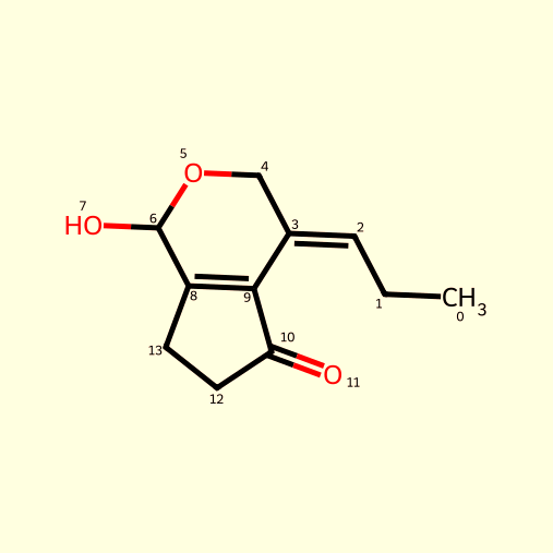 CC/C=C1/COC(O)C2=C1C(=O)CC2